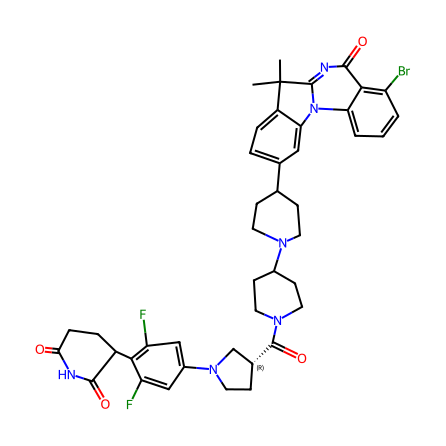 CC1(C)c2ccc(C3CCN(C4CCN(C(=O)[C@@H]5CCN(c6cc(F)c(C7CCC(=O)NC7=O)c(F)c6)C5)CC4)CC3)cc2-n2c1nc(=O)c1c(Br)cccc12